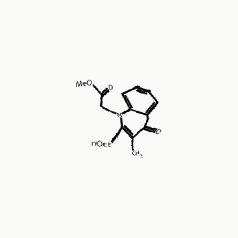 CCCCCCCCc1c(C)c(=O)c2ccccc2n1CC(=O)OC